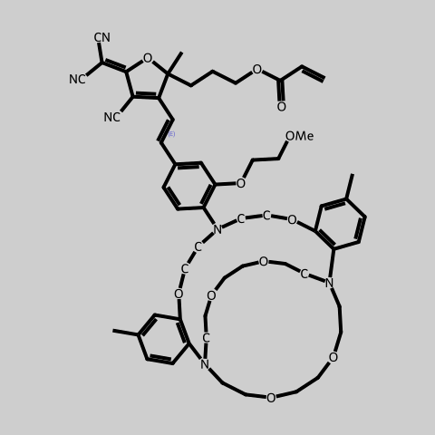 C=CC(=O)OCCCC1(C)OC(=C(C#N)C#N)C(C#N)=C1/C=C/c1ccc(N2CCOc3cc(C)ccc3N3CCOCCOCCN(CCOCCOCC3)c3ccc(C)cc3OCC2)c(OCCOC)c1